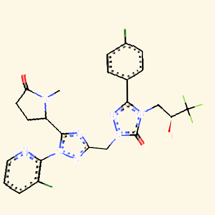 CN1C(=O)CCC1c1nc(Cn2nc(-c3ccc(Cl)cc3)n(C[C@H](O)C(F)(F)F)c2=O)nn1-c1ncccc1Cl